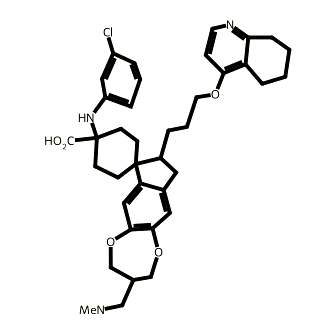 CNCC1COc2cc3c(cc2OC1)C1(CCC(Nc2cccc(Cl)c2)(C(=O)O)CC1)C(CCCOc1ccnc2c1CCCC2)C3